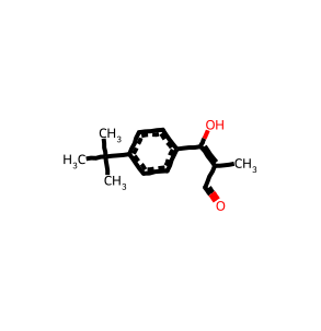 CC(C=O)=C(O)c1ccc(C(C)(C)C)cc1